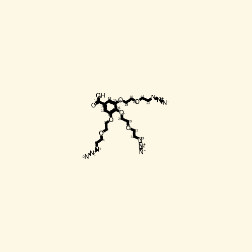 [N-]=[N+]=NCCOCCOc1cc(C(=O)O)cc(OCCOCCN=[N+]=[N-])c1OCCOCCN=[N+]=[N-]